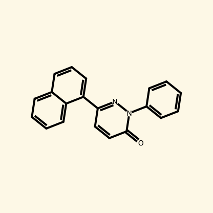 O=c1ccc(-c2cccc3ccccc23)nn1-c1ccccc1